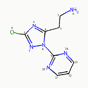 NCCc1nc(Cl)nn1-c1ncccn1